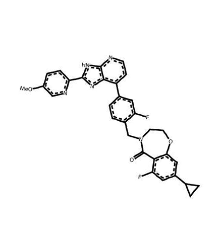 COc1ccc(-c2nc3c(-c4ccc(CN5CCOc6cc(C7CC7)cc(F)c6C5=O)c(F)c4)ccnc3[nH]2)nc1